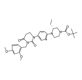 CC[C@@H]1CN(C(=O)OC(C)(C)C)CCN1c1ccc(N2CCC(=O)N(Cc3ccc(OC)cc3OC)C2=O)cn1